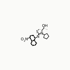 C[C@@H](O)[C@H]1CS/C(=N\c2ccc([N+](=O)[O-])c3ccccc23)N1C1CCCC1